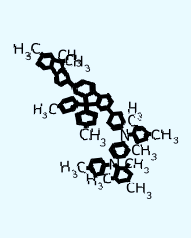 Cc1ccc(N(c2ccc(N(c3ccc(-c4ccc5c(c4)C(c4ccc(C)cc4)(c4ccc(C)cc4)c4cc(-c6ccc7c(c6)C(C)(C)c6cc(C)ccc6-7)ccc4-5)cc3)c3c(C)cc(C)cc3C)cc2)c2c(C)cc(C)cc2C)cc1